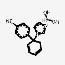 N#Cc1ccc(C2(n3ccnc3)C=CC=CC2)cc1.OBO